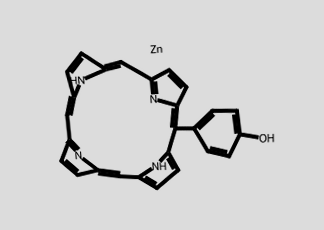 Oc1ccc(-c2c3nc(cc4ccc(cc5nc(cc6ccc2[nH]6)C=C5)[nH]4)C=C3)cc1.[Zn]